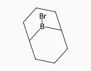 BrB1C2CCCC1CCC2